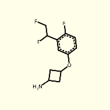 NC1CC(Oc2ccc(F)c(C(F)CF)c2)C1